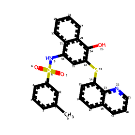 Cc1cccc(S(=O)(=O)Nc2cc(Sc3cccc4cccnc34)c(O)c3ccccc23)c1